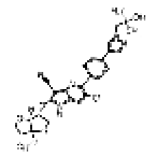 CC(C)(O)Cn1cc(-c2ccc(-c3nc4c(C#N)c(O[C@@H]5CO[C@H]6[C@@H]5OC[C@H]6O)[nH]c4cc3Cl)cc2)cn1